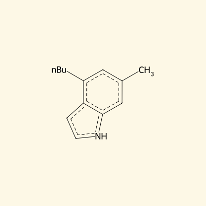 CCCCc1cc(C)cc2[nH]ccc12